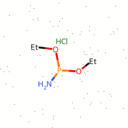 CCOP(N)OCC.Cl